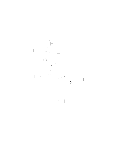 C=C(CCN(C)C(=O)OC(C)(C)C)SCC